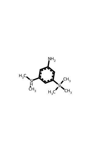 C[SiH](C)c1cc(N)cc([Si](C)(C)C)c1